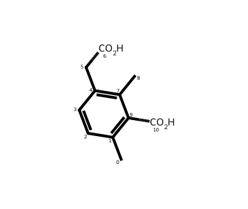 Cc1ccc(CC(=O)O)c(C)c1C(=O)O